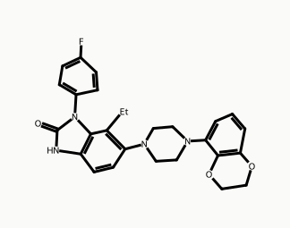 CCc1c(N2CCN(c3cccc4c3OCCO4)CC2)ccc2[nH]c(=O)n(-c3ccc(F)cc3)c12